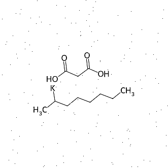 CCCCCC[CH](C)[K].O=C(O)CC(=O)O